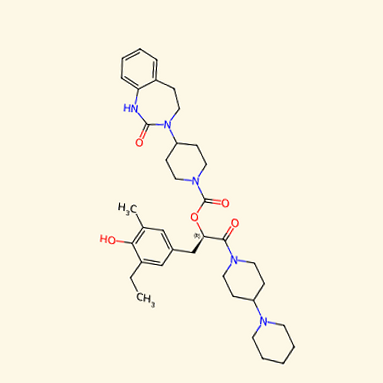 CCc1cc(C[C@@H](OC(=O)N2CCC(N3CCc4ccccc4NC3=O)CC2)C(=O)N2CCC(N3CCCCC3)CC2)cc(C)c1O